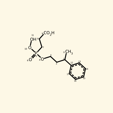 CC(CCOP(=O)(CCC(=O)O)OO)c1ccccc1